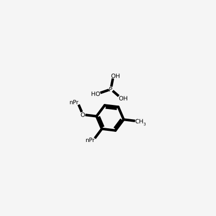 CCCOc1ccc(C)cc1CCC.OP(O)O